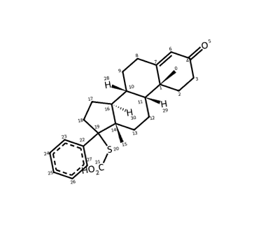 C[C@]12CCC(=O)C=C1CC[C@@H]1[C@H]2CC[C@@]2(C)[C@H]1CCC2(SC(=O)O)c1ccccc1